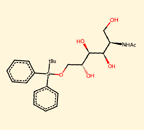 CC(=O)N[C@H](CO)[C@@H](O)[C@H](O)[C@H](O)CO[Si](c1ccccc1)(c1ccccc1)C(C)(C)C